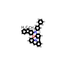 CC1(C)c2ccccc2-c2ccc(N(c3ccc(-c4ccccc4)cc3)c3ccc4c5cccc6c5n5c4c3Oc3cccc(c3-5)C6)cc21